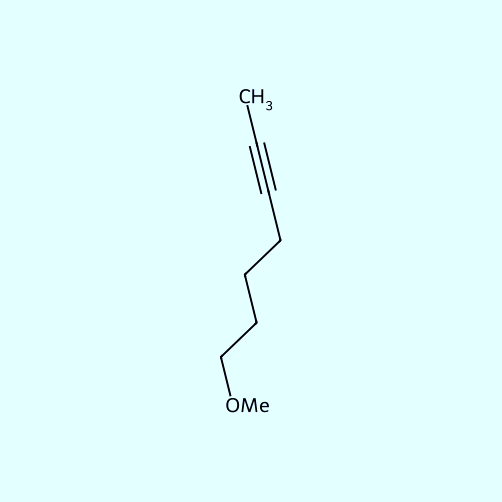 CC#CCCCCOC